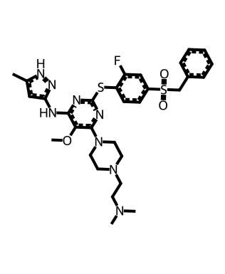 COc1c(Nc2cc(C)[nH]n2)nc(Sc2ccc(S(=O)(=O)Cc3ccccc3)cc2F)nc1N1CCN(CCN(C)C)CC1